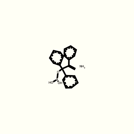 C=C(c1ccccc1)C(OB(O)O)(c1ccccc1)c1ccccc1.N